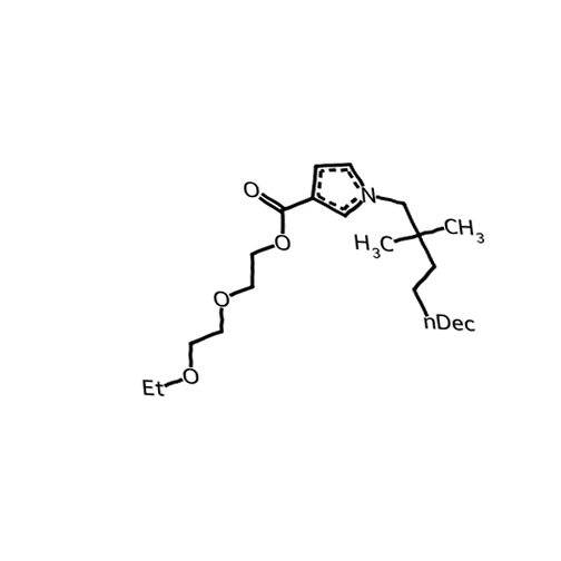 CCCCCCCCCCCCC(C)(C)Cn1ccc(C(=O)OCCOCCOCC)c1